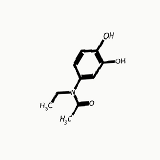 CCN(C(C)=O)c1ccc(O)c(O)c1